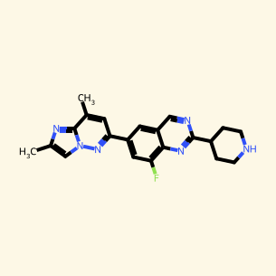 Cc1cn2nc(-c3cc(F)c4nc(C5CCNCC5)ncc4c3)cc(C)c2n1